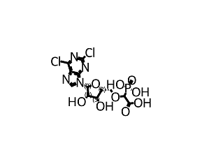 O=C(O)C(OC[C@H]1O[C@@H](n2cnc3c(Cl)nc(Cl)nc32)[C@H](O)[C@@H]1O)P(=O)(O)O